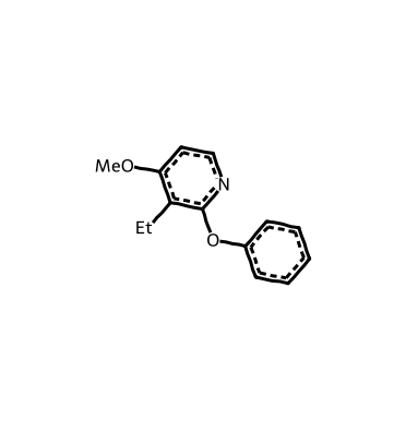 [CH2]Cc1c(OC)ccnc1Oc1ccccc1